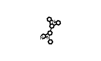 c1ccc(-n2c3ccc(-c4cc5c6ccccc6n6c7ccccc7c(c4)c56)cc3c3ccncc32)cc1